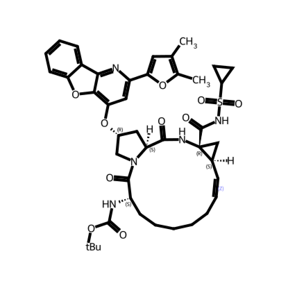 Cc1cc(-c2cc(O[C@@H]3C[C@H]4C(=O)N[C@]5(C(=O)NS(=O)(=O)C6CC6)C[C@H]5/C=C\CCCCC[C@H](NC(=O)OC(C)(C)C)C(=O)N4C3)c3oc4ccccc4c3n2)oc1C